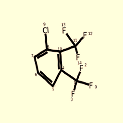 FC(F)(F)c1[c]ccc(Cl)c1C(F)(F)F